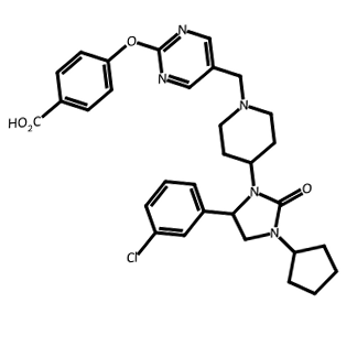 O=C(O)c1ccc(Oc2ncc(CN3CCC(N4C(=O)N(C5CCCC5)CC4c4cccc(Cl)c4)CC3)cn2)cc1